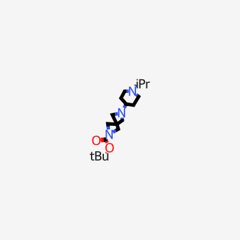 CC(C)N1CCC(N2CC3(CN(C(=O)OC(C)(C)C)C3)C2)CC1